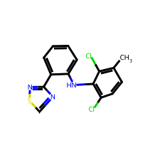 Cc1ccc(Cl)c(Nc2ccccc2-c2n[c]sn2)c1Cl